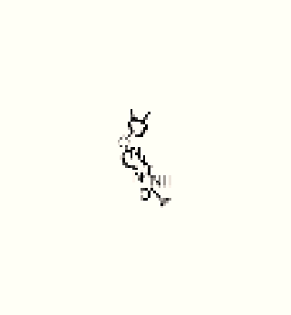 Cc1ccc(Oc2ccc3nc(NC(=O)C4CC4)cn3n2)cc1C